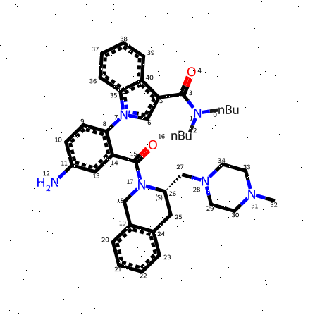 CCCCN(CCCC)C(=O)c1cn(-c2ccc(N)cc2C(=O)N2Cc3ccccc3C[C@H]2CN2CCN(C)CC2)c2ccccc12